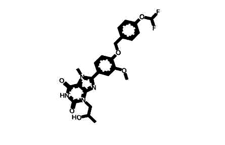 COc1cc(-c2nc3c(c(=O)[nH]c(=O)n3CC(C)O)n2C)ccc1OCc1ccc(OC(F)F)cc1